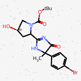 CC(C)(C)OC(=O)N1C[C@H](O)CC1C1=NC(=O)C(C)(c2ccc(Br)cc2)N1